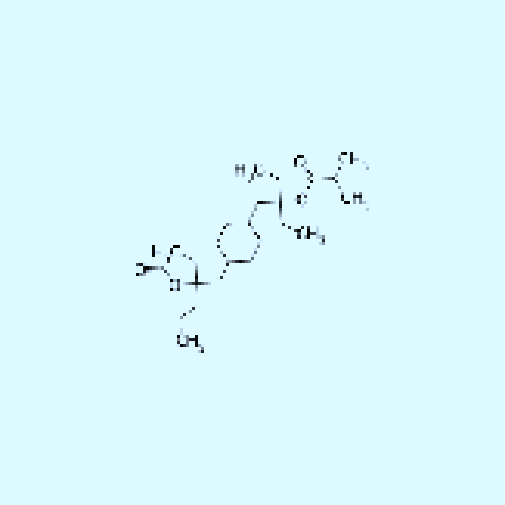 CCCC(CC)(CC1CCC(CC(CC)(CC)OC(=O)C(C)C)CC1)OC=O